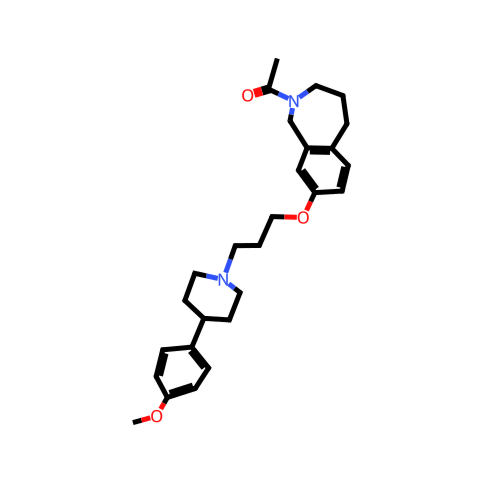 COc1ccc(C2CCN(CCCOc3ccc4c(c3)CN(C(C)=O)CCC4)CC2)cc1